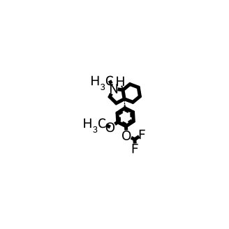 COc1cc([C@@]23CCCC[C@@H]2N(C)CC3)ccc1OC(F)F